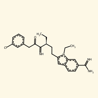 CC[C@@H](CCc1cc2ccc(C(=N)N)cc2n1CC)C(=N)C(=O)Cc1cccc(Cl)c1